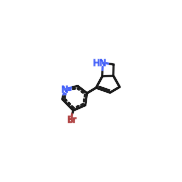 Brc1cncc(C2=CCC3CNC23)c1